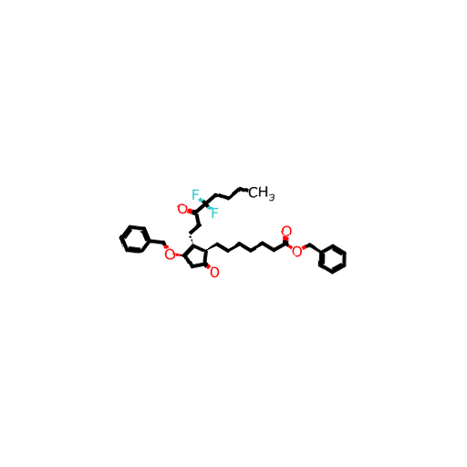 CCCCC(F)(F)C(=O)CC[C@H]1[C@H](OCc2ccccc2)CC(=O)[C@@H]1CCCCCCC(=O)OCc1ccccc1